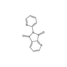 O=C1c2cccnc2C(=O)N1c1ccccn1